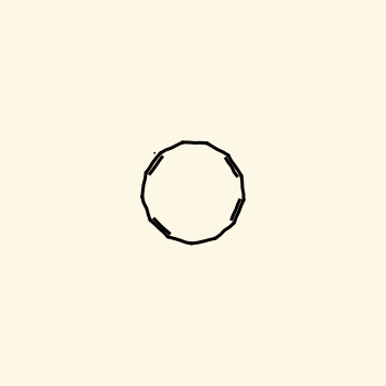 [C]1=CCC=CCCC=CC=CCC1